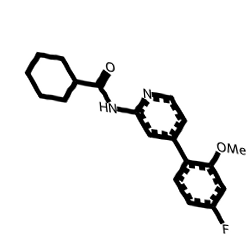 COc1cc(F)ccc1-c1ccnc(NC(=O)C2CCCCC2)c1